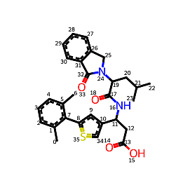 Cc1cccc(C)c1-c1cc(C(CC(=O)O)NC(=O)C(CC(C)C)N2Cc3ccccc3C2=O)cs1